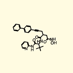 CC(C)(C)C(NC(=O)C(CC#Cc1ccc(-c2ccccc2)cc1)CC(=O)NO)C(=O)Nc1ccccn1